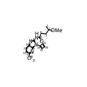 COC(C)CCC(=O)Nc1nc2ccc(C(F)(F)F)nc2n1C1=CC=C1